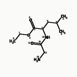 CCOC(=O)C(CC(C)C)NC(=O)CN